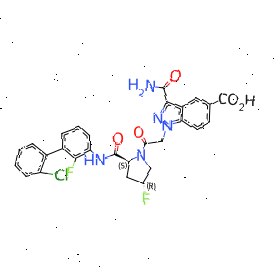 NC(=O)c1nn(CC(=O)N2C[C@H](F)C[C@H]2C(=O)Nc2cccc(-c3ccccc3Cl)c2F)c2ccc(C(=O)O)cc12